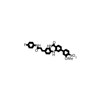 COc1cc(-c2ccc3c(c2)Nc2ccc(CCC(=O)Nc4ccc(F)cc4)cc2NC3=O)ccc1[N+](=O)[O-]